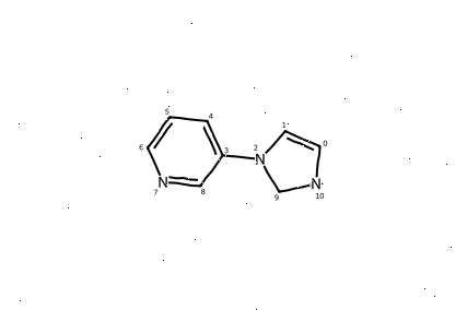 C1=CN(c2cccnc2)C[N]1